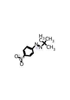 CC(C)(C)/N=N/c1ccc([N+](=O)[O-])cc1